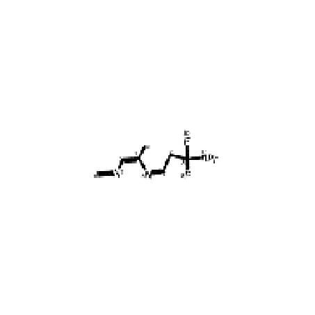 C=N/C=C(C)\N=C/CC(F)(F)CCC